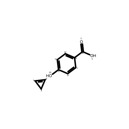 C1=CC1.O=C(O)c1ccc(O)cc1